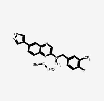 CC(C)(C)OC=O.CN(Cc1ccc(F)c(C(F)(F)F)c1)c1cnc2cc(-c3cn[nH]c3)ccc2n1